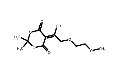 COCCOCC(O)=C1C(=O)OC(C)(C)OC1=O